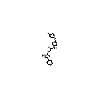 Cc1ccc(Oc2ccc(NC(=O)CSc3nc(-c4cccnc4)n[nH]3)cc2)cc1